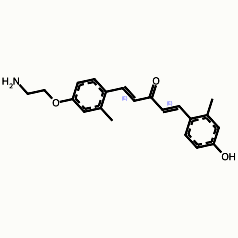 Cc1cc(O)ccc1/C=C/C(=O)/C=C/c1ccc(OCCN)cc1C